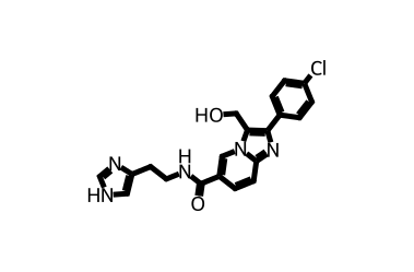 O=C(NCCc1c[nH]cn1)c1ccc2nc(-c3ccc(Cl)cc3)c(CO)n2c1